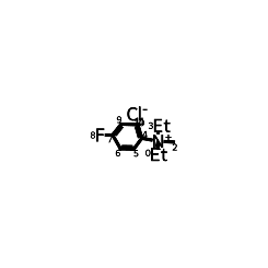 CC[N+](C)(CC)c1ccc(F)cc1.[Cl-]